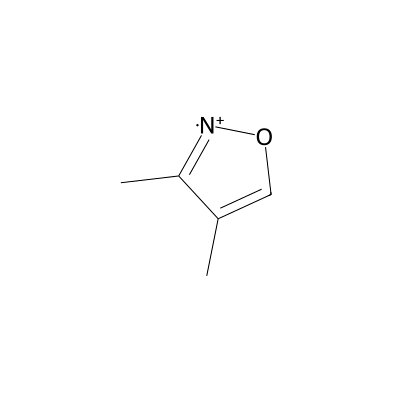 CC1=CO[N+]=C1C